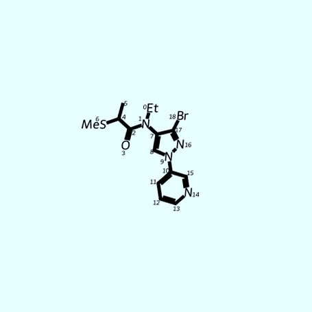 CCN(C(=O)C(C)SC)c1cn(-c2cccnc2)nc1Br